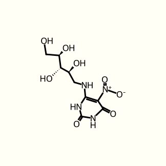 O=c1[nH]c(NC[C@H](O)[C@H](O)[C@H](O)CO)c([N+](=O)[O-])c(=O)[nH]1